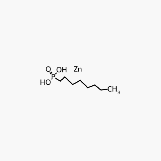 CCCCCCCCP(=O)(O)O.[Zn]